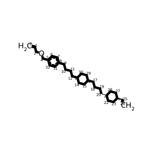 C=CCOCc1ccc(CCCCC2CCC(CCCC[C@H]3CC[C@H](C=C)CC3)CC2)cc1